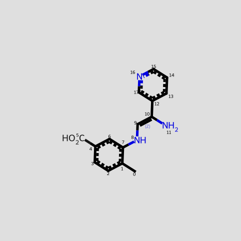 Cc1ccc(C(=O)O)cc1N/C=C(\N)c1cccnc1